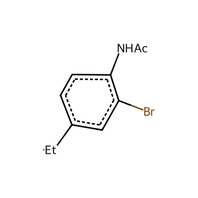 C[CH]c1ccc(NC(C)=O)c(Br)c1